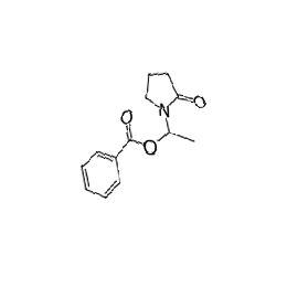 CC(OC(=O)c1ccccc1)N1CCCC1=O